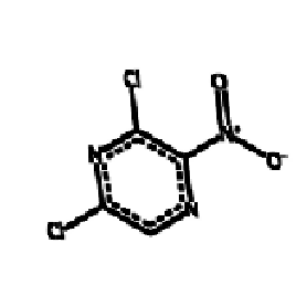 O=[N+]([O-])c1ncc(Cl)nc1Cl